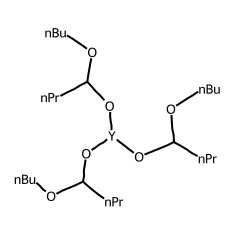 CCCCOC(CCC)[O][Y]([O]C(CCC)OCCCC)[O]C(CCC)OCCCC